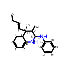 CCC=C[C@]1(C)C2CC=CC=C2NC(Nc2ccccc2)C1C